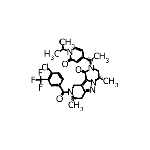 CC(C)n1ccc([C@H](C)N2C[C@@H](C)n3nc4c(c3C2=O)CN(C(=O)c2ccc(Cl)c(C(F)(F)F)c2)[C@H](C)C4)cc1=O